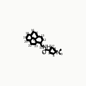 CN(C)c1ccc(C(=O)NCc2ccc3ccc4cccc5ccc2c3c45)cc1